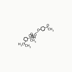 C=C(C)c1cccc(C(C)(C)NC(=O)OCCOc2ccc(C(C)=O)cc2)c1